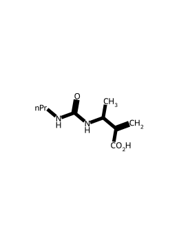 C=C(C(=O)O)C(C)NC(=O)NCCC